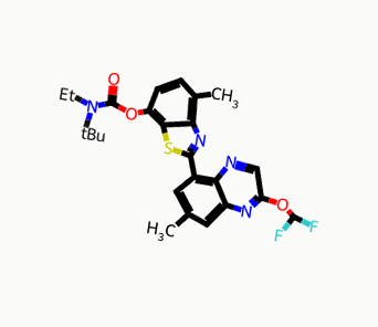 CCN(C(=O)Oc1ccc(C)c2nc(-c3cc(C)cc4nc(OC(F)F)cnc34)sc12)C(C)(C)C